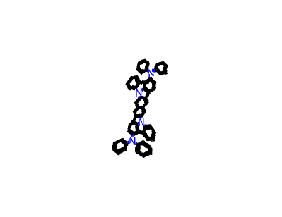 c1ccc(N(c2ccccc2)c2ccc3c4cc5cc6c(cc5cc4n4c5ccccc5c2c34)c2ccc(N(c3ccccc3)c3ccccc3)c3c4ccccc4n6c23)cc1